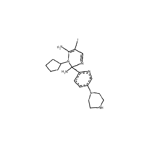 NC1=C(I)C=NC(N)(c2ccc(N3CCNCC3)cn2)N1C1CCCC1